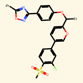 CCC(Oc1ccc(-c2noc(C(C)C)n2)cc1)C1=C=CC(c2ccc(S(C)(=O)=O)c(F)c2)=CO1